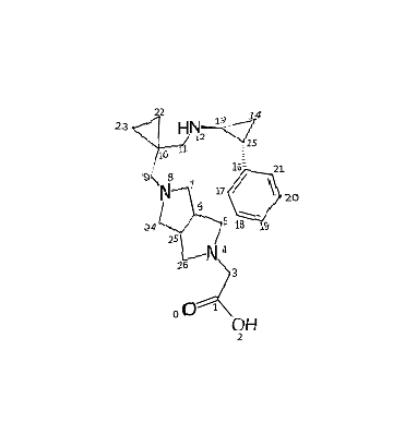 O=C(O)CN1CC2CN(CC3(CN[C@H]4C[C@@H]4c4ccccc4)CC3)CC2C1